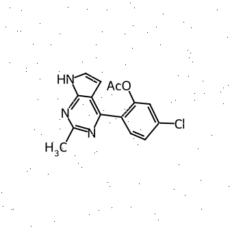 CC(=O)Oc1cc(Cl)ccc1-c1nc(C)nc2[nH]ccc12